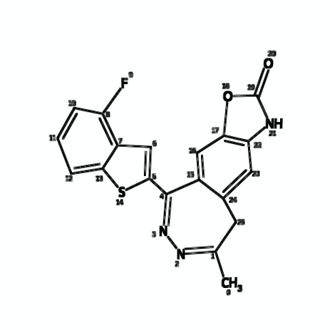 CC1=NN=C(c2cc3c(F)cccc3s2)c2cc3oc(=O)[nH]c3cc2C1